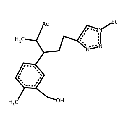 CCn1cc(CCC(c2ccc(C)c(CO)c2)C(C)C(C)=O)nn1